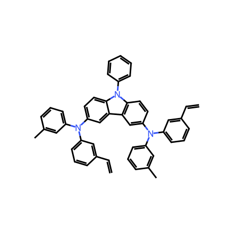 C=Cc1cccc(N(c2cccc(C)c2)c2ccc3c(c2)c2cc(N(c4cccc(C)c4)c4cccc(C=C)c4)ccc2n3-c2ccccc2)c1